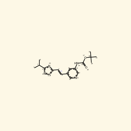 CC(C)c1nsc(/C=C/c2cncc(NC(=O)OC(C)(C)C)c2)n1